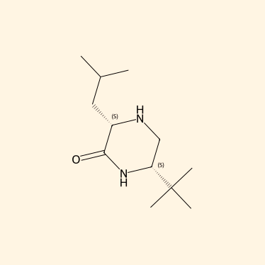 CC(C)C[C@@H]1NC[C@H](C(C)(C)C)NC1=O